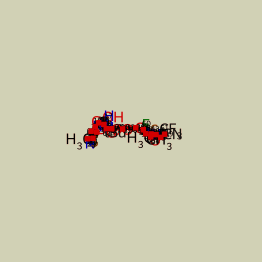 Cc1ncsc1-c1ccc(CNC(=O)[C@@H]2C[C@@H](O)CN2C(=O)C(NC(=O)COCCCOCCCCOc2ccc(N3C(=S)N(c4ccc(C#N)c(C(F)(F)F)c4)C(=O)C3(C)C)cc2F)C(C)(C)C)cc1